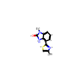 CCn1c(=O)[nH]c2c(-c3nc(C(C)C)cs3)cccc21